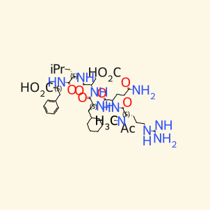 CC(=O)N(C)[C@@H](CCCNC(=N)N)C(=O)NC(CCC(N)=O)C(=O)N[C@@H](CC1CCCCC1)C(=O)NC(CC(=O)O)C(=O)N[C@@H](CC(C)C)C(=O)N[C@@H](Cc1ccccc1)C(=O)O